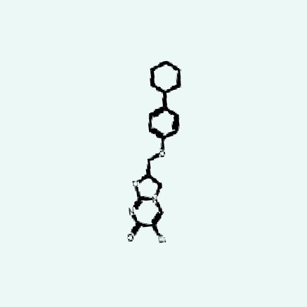 CCc1cn2c(nc1=O)OC(COc1ccc(C3CCCCC3)cc1)C2